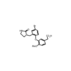 COc1ccc(CC(=O)O)cc1Oc1ccc(Br)cc1CN1CCNC1=O